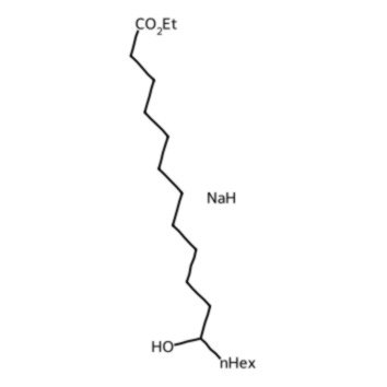 CCCCCCC(O)CCCCCCCCCCC(=O)OCC.[NaH]